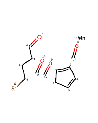 C1=CCC=C1.O=CCCCBr.[C]=O.[C]=O.[C]=O.[Mn]